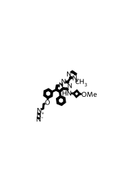 COC1CC(Nc2nc(-c3nccn3C)nn3cc(-c4cccc(OCCN=[N+]=[N-])c4)c(-c4ccccc4)c23)C1